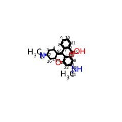 C/N=C1\CCC2=C(c3ccccc3C(=O)O)c3ccc(NC)cc3OC2C1